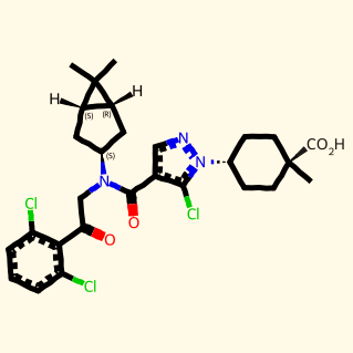 CC1(C)[C@@H]2C[C@@H](N(CC(=O)c3c(Cl)cccc3Cl)C(=O)c3cnn([C@H]4CC[C@](C)(C(=O)O)CC4)c3Cl)C[C@@H]21